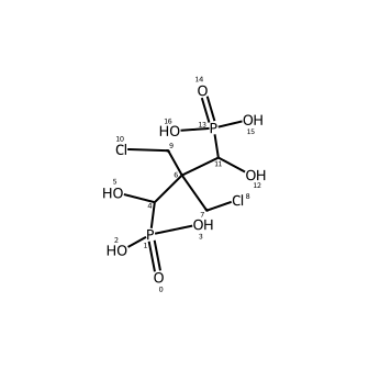 O=P(O)(O)C(O)C(CCl)(CCl)C(O)P(=O)(O)O